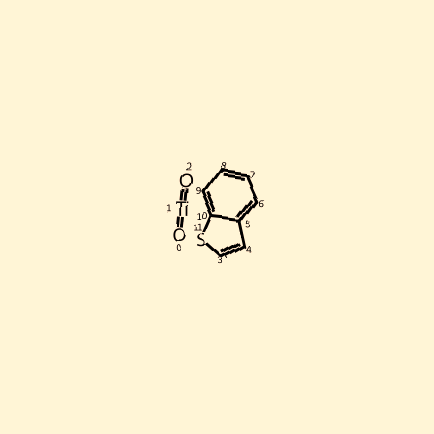 [O]=[Ti]=[O].[c]1cc2ccccc2s1